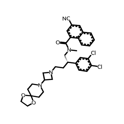 CN(C[C@@H](CCN1CC(N2CCC3(CC2)OCCO3)C1)c1ccc(Cl)c(Cl)c1)C(=O)c1cc(C#N)cc2ccccc12